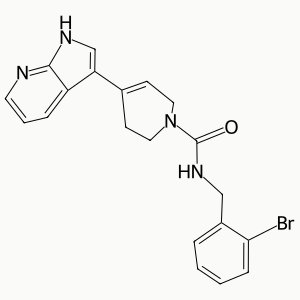 O=C(NCc1ccccc1Br)N1CC=C(c2c[nH]c3ncccc23)CC1